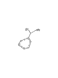 [CH2]CCC(C[CH2])c1ccccc1